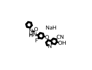 N#Cc1cc2c(Oc3ccc(NC(=O)Nc4ccccc4)c(F)c3)ccnc2cc1O.[NaH]